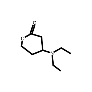 CCN(CC)C1CCOC(=O)C1